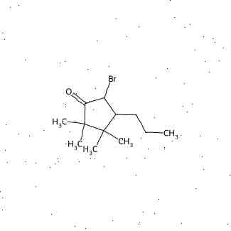 CCCC1C(Br)C(=O)C(C)(C)C1(C)C